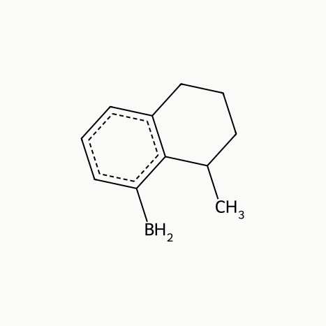 Bc1cccc2c1C(C)CCC2